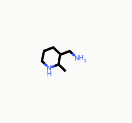 CC1NCCCC1CN